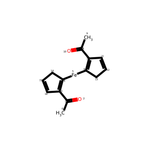 CC(=O)C1=[C]([Fe][C]2=C(C(C)=O)C=CC2)CC=C1